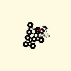 CC1(C)c2nccnc2-c2ccc3c(c21)C1(C)c2ccccc2-c2cc(C4(c5ccccc5)c5ccccc5-c5ccccc54)cc(c21)N3c1cccc2c3ccccc3n(-c3ccccc3)c12